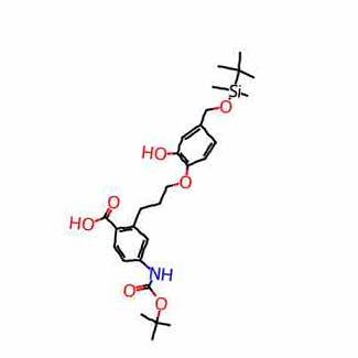 CC(C)(C)OC(=O)Nc1ccc(C(=O)O)c(CCCOc2ccc(CO[Si](C)(C)C(C)(C)C)cc2O)c1